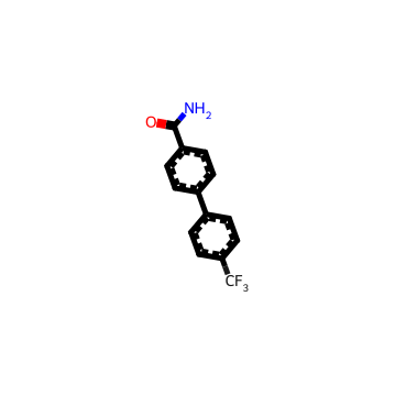 NC(=O)c1ccc(-c2ccc(C(F)(F)F)cc2)cc1